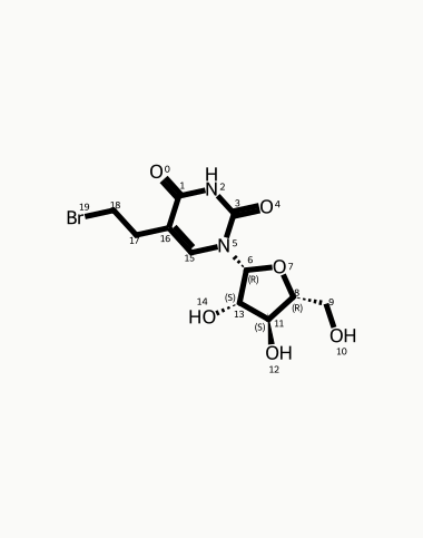 O=c1[nH]c(=O)n([C@@H]2O[C@H](CO)[C@@H](O)[C@@H]2O)cc1CCBr